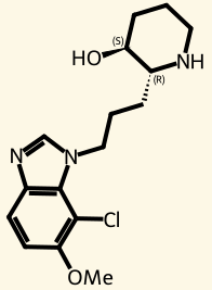 COc1ccc2ncn(CCC[C@H]3NCCC[C@@H]3O)c2c1Cl